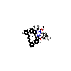 C(C=Cc1ccccc1)=Cc1ccccc1.C1=C[CH]([Zr][CH]2C=Cc3ccccc32)c2ccccc21.C[Si](C)(C)C(=O)[NH][InH][NH]C(=O)[Si](C)(C)C